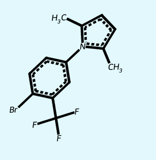 Cc1ccc(C)n1-c1ccc(Br)c(C(F)(F)F)c1